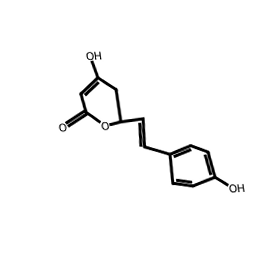 O=C1C=C(O)CC(/C=C/c2ccc(O)cc2)O1